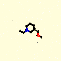 [CH2]CN1CCC[C@H](COC)C1